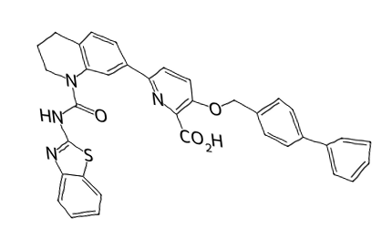 O=C(O)c1nc(-c2ccc3c(c2)N(C(=O)Nc2nc4ccccc4s2)CCC3)ccc1OCc1ccc(-c2ccccc2)cc1